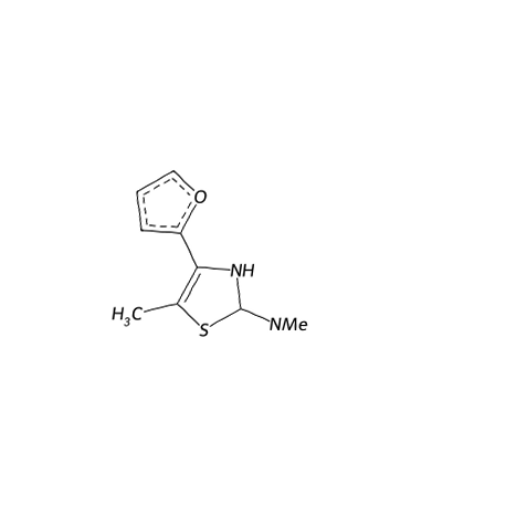 CNC1NC(c2ccco2)=C(C)S1